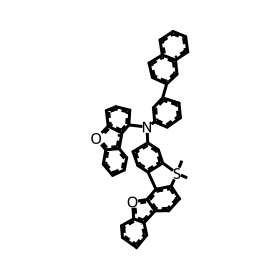 CS1(C)c2cc(N(c3cccc(-c4ccc5ccccc5c4)c3)c3cccc4oc5ccccc5c34)ccc2-c2c1ccc1c2oc2ccccc21